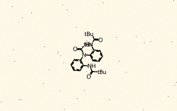 CC(C)(C)C(=O)Nc1ccccc1N(C(=O)C(C)(C)C)c1ccccc1NC(=O)C(C)(C)C